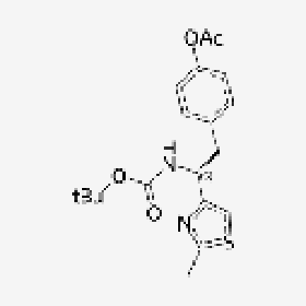 CC(=O)Oc1ccc(C[C@H](NC(=O)OC(C)(C)C)c2csc(C)n2)cc1